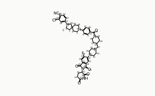 C[C@H]1CC2(CCN(c3ccc(C(=O)N4CCC(CN5CCN(c6cc7c(cc6F)C(=O)N(C6CCC(=O)NC6=O)C7=O)CC5)CC4)cc3)CC2)CN1c1ccc(C#N)c(Cl)c1